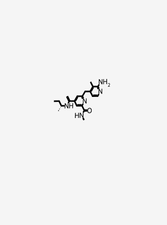 C=C(N[C@H](C)CC)c1cc(Cc2ccnc(N)c2C)nc(C(=O)NC)c1